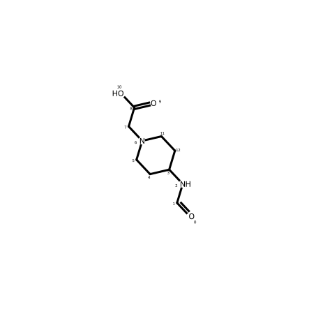 O=CNC1CCN(CC(=O)O)CC1